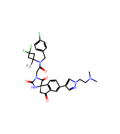 CN(C)CCn1cc(-c2ccc3c(c2)C(=O)C[C@]32NC(=O)N(CC(=O)N(Cc3ccc(F)cc3)C3(C(F)(F)F)CC(F)(F)C3)C2=O)cn1